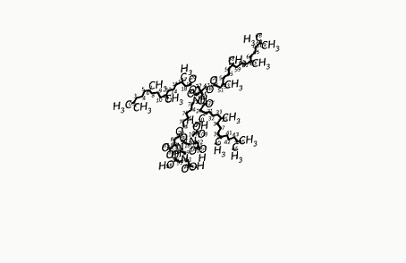 CC(C)CCCC(C)CCCC(C)CCCC(C)CC(=O)OCC(COC(=O)CC(C)CCCC(C)CCCC(C)CCCC(C)C)(COC(=O)CC(C)CCCC(C)CCCC(C)CCCC(C)C)C(=O)NCCCCCCOC(=O)CC(C(=O)O)N(CCN(CC(=O)O)CC(=O)O)CCN(CC(=O)O)CC(=O)O